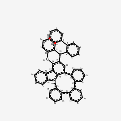 c1ccc(-c2ccccc2B2c3ccccc3Oc3c2cc2c4ccccc4c4ccccc4c4ccccc4n4c5ccccc5c3c24)cc1